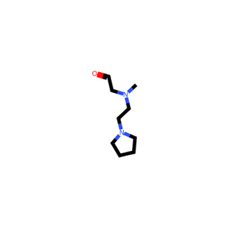 CN(CC=O)CCN1CCCC1